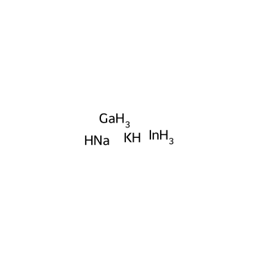 [GaH3].[InH3].[KH].[NaH]